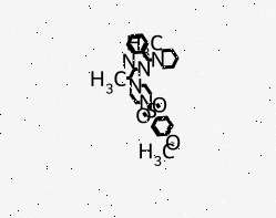 COc1ccc(S(=O)(=O)N2CCN(C(C)c3nc(N4CCCCC4C)c4ccccc4n3)CC2)cc1